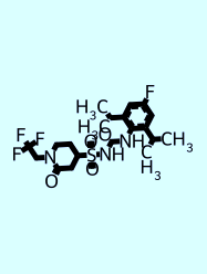 CC(C)c1cc(F)cc(C(C)C)c1NC(=O)NS(=O)(=O)C1CCN(CC(F)(F)F)C(=O)C1